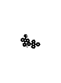 c1cc(-c2c3ccccc3c(-c3ccco3)c3ccccc23)c2c(c#1)sc1cc(-c3c4ccccc4c(-c4ccccc4)c4ccccc34)ccc12